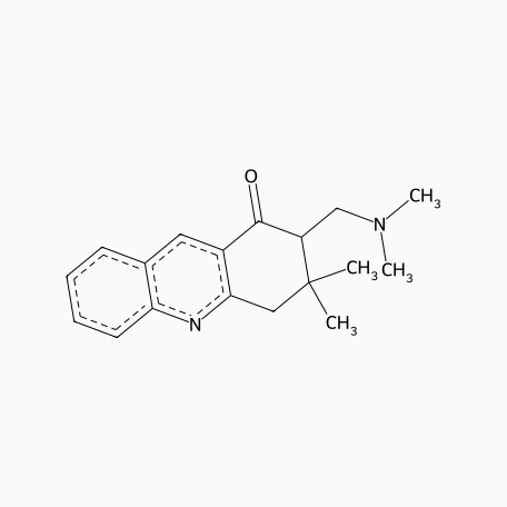 CN(C)CC1C(=O)c2cc3ccccc3nc2CC1(C)C